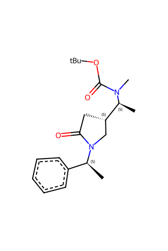 C[C@@H]([C@H]1CC(=O)N([C@@H](C)c2ccccc2)C1)N(C)C(=O)OC(C)(C)C